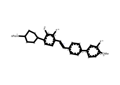 CCCCCC1CCC(c2ccc(/C=C/c3ccc(-c4ccc(OC)c(F)c4)cc3)c(F)c2F)CC1